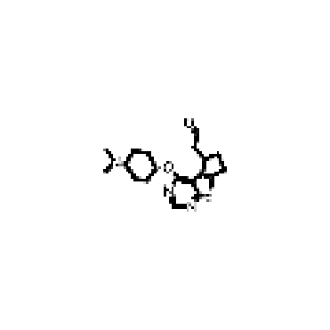 CN(C)[C@H]1CC[C@H](Oc2ncnc3sc4c(c23)C(CC=O)CC4)CC1